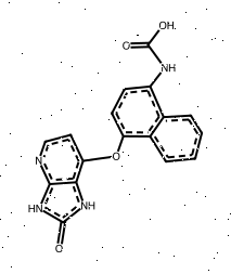 O=C(O)Nc1ccc(Oc2ccnc3[nH]c(=O)[nH]c23)c2ccccc12